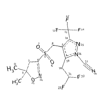 CC1(C)CC(S(=O)(=O)Cc2c(C(F)(F)F)nn(C#N)c2CC(F)F)=NO1